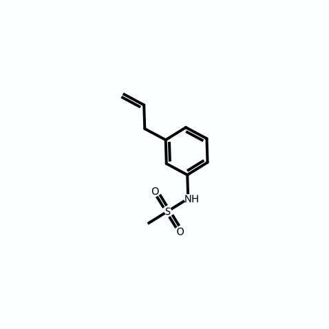 C=CCc1cccc(NS(C)(=O)=O)c1